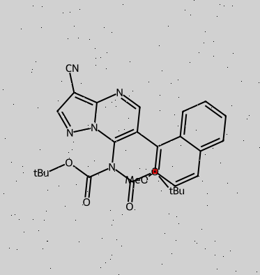 COc1ccc2ccccc2c1-c1cnc2c(C#N)cnn2c1N(C(=O)OC(C)(C)C)C(=O)OC(C)(C)C